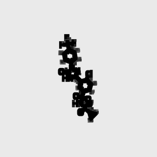 O=c1[nH]c(-c2cc(S(=O)(=O)NS(=O)(=O)C3CC3)ccc2Cl)nn1-c1ccc(C(F)(F)F)cc1